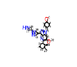 COc1ccc(Cn2nc(-c3cnn(C4CNC4)c3)c3nc(-c4cccc(C)c4C)c(OC)cc32)cc1